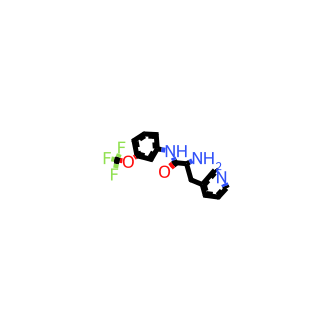 NC(Cc1cccnc1)C(=O)Nc1cccc(OC(F)(F)F)c1